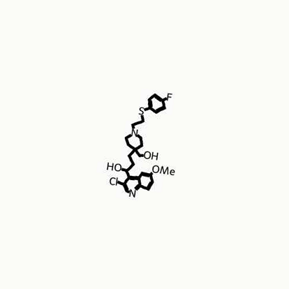 COc1ccc2ncc(Cl)c(C(O)CCC3(CO)CCN(CCSc4ccc(F)cc4)CC3)c2c1